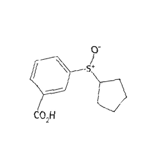 O=C(O)c1cccc([S+]([O-])C2CCCC2)c1